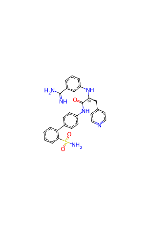 N=C(N)c1cccc(N[C@@H](Cc2ccncc2)C(=O)Nc2ccc(-c3ccccc3S(N)(=O)=O)cc2)c1